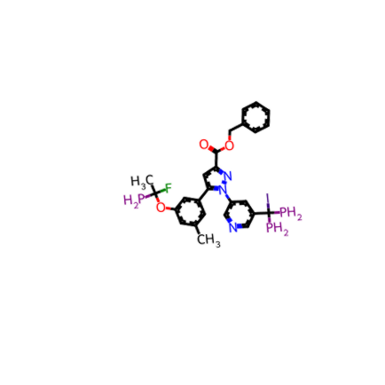 Cc1cc(OC(C)(F)P)cc(-c2cc(C(=O)OCc3ccccc3)nn2-c2cncc(C(P)(P)I)c2)c1